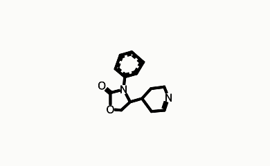 O=C1OCC(C2CC=NCC2)N1c1ccccc1